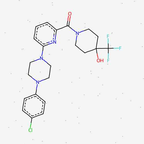 O=C(c1cccc(N2CCN(c3ccc(Cl)cc3)CC2)n1)N1CCC(O)(C(F)(F)F)CC1